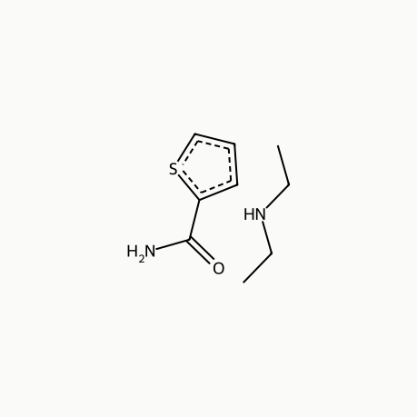 CCNCC.NC(=O)c1cccs1